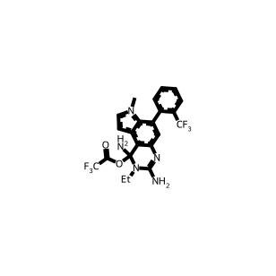 CCN1C(N)=Nc2cc(-c3ccccc3C(F)(F)F)c3c(ccn3C)c2C1(N)OC(=O)C(F)(F)F